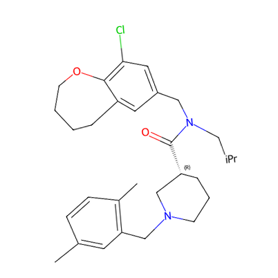 Cc1ccc(C)c(CN2CCC[C@@H](C(=O)N(Cc3cc(Cl)c4c(c3)CCCCO4)CC(C)C)C2)c1